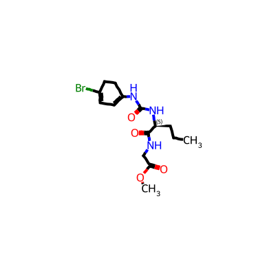 CCC[C@H](NC(=O)NC1=CC=C(Br)CC1)C(=O)NCC(=O)OC